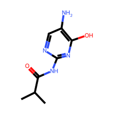 CC(C)C(=O)Nc1ncc(N)c(O)n1